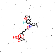 COc1ccc(/C(C)=N\OCCCCC2COC(C)(C(=O)O)OC2)cc1F